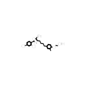 Cc1cc(CCCCc2nc(-c3ccc(Cl)cc3Cl)oc2C(C)C)ccc1OCCO